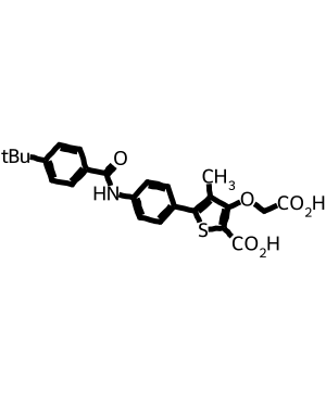 Cc1c(-c2ccc(NC(=O)c3ccc(C(C)(C)C)cc3)cc2)sc(C(=O)O)c1OCC(=O)O